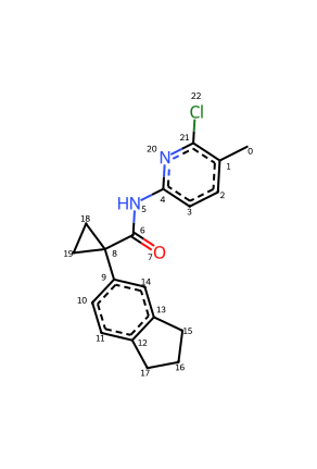 Cc1ccc(NC(=O)C2(c3ccc4c(c3)CCC4)CC2)nc1Cl